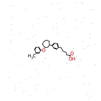 Cc1cccc(OC2CCCCC(c3ccc(CCCCC(=O)O)cc3)C2)c1